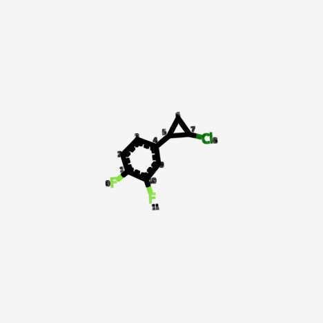 Fc1ccc(C2C[C]2Cl)cc1F